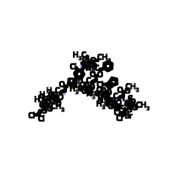 CCOP(=O)(OCC)O/C(=C\Cl)c1ccc(Cl)cc1Cl.CNC(=O)/C=C(\C)OP(=O)(OC)OC.COC(=O)/C=C(\C)OP(=O)(OC)OC.COP(=O)(OC)O/C(C)=C/C(=O)OC(C)c1ccccc1.COP(=O)(OC)OC(Br)C(Cl)(Cl)Br.COP(=O)(OC)OC1=C(Cl)C2C=CCC12.COP(=O)(OC)OC=C(Cl)Cl